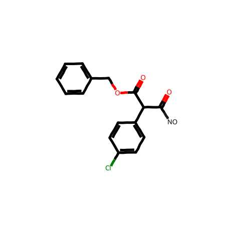 O=NC(=O)C(C(=O)OCc1ccccc1)c1ccc(Cl)cc1